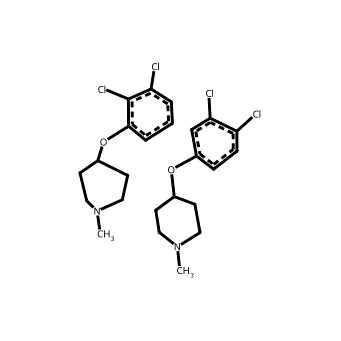 CN1CCC(Oc2ccc(Cl)c(Cl)c2)CC1.CN1CCC(Oc2cccc(Cl)c2Cl)CC1